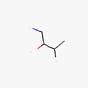 CCC(C)C(O)CN